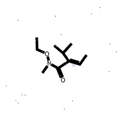 C/C=C(/C(=O)N(C)OCC)C(C)C